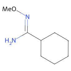 CO/N=C(\N)C1CCCCC1